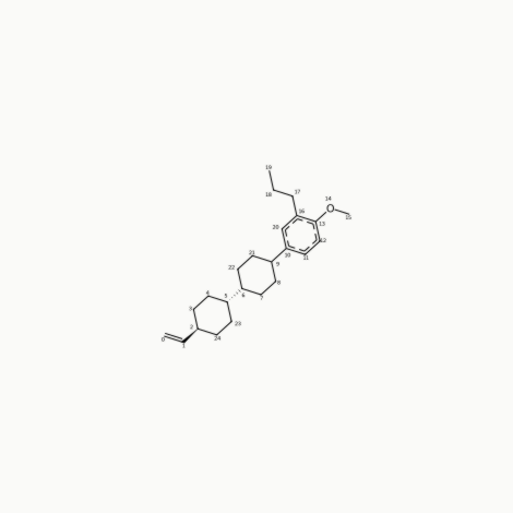 C=C[C@H]1CC[C@H](C2CCC(c3ccc(OC)c(CCC)c3)CC2)CC1